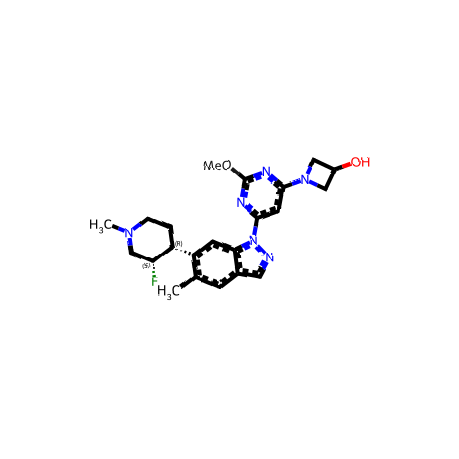 COc1nc(N2CC(O)C2)cc(-n2ncc3cc(C)c([C@H]4CCN(C)C[C@H]4F)cc32)n1